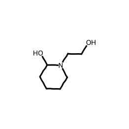 OCCN1CCCCC1O